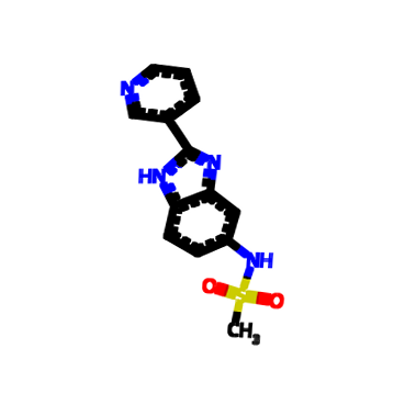 CS(=O)(=O)Nc1ccc2[nH]c(-c3cccnc3)nc2c1